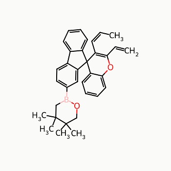 C=CC1=C(/C=C\C)C2(c3ccccc3O1)c1ccccc1-c1ccc(B3CC(C)(C)C(C)(C)CO3)cc12